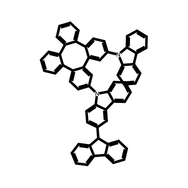 c1ccc2c(c1)-c1ccccc1-c1ccc(-n3c4ccccc4c4cc(C5c6ccccc6-c6ccccc65)ccc43)cc1-c1cc(-n3c4ccccc4c4ccccc43)ccc1-2